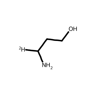 [2H]C(N)CCO